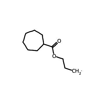 [CH2]CCOC(=O)C1CCCCCC1